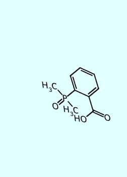 CP(C)(=O)c1ccccc1C(=O)O